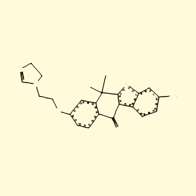 CC1(C)c2cc(OCCN3C=NCC3)ccc2C(=O)c2c1[nH]c1cc(C#N)ccc21